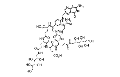 CNC(=O)[C@H](CCCNC(=N)N)NC(=O)[C@H](CCC(=O)NC[C@H](O)[C@@H](O)[C@H](O)[C@H](O)CO)NC(=O)[C@H](CCC(=O)O)NC(=O)[C@H](CCC(=O)NC[C@H](O)[C@@H](O)[C@H](O)[C@H](O)CO)NC(=O)CC[C@H](NC(=O)c1ccc(NCc2cnc3nc(N)[nH]c(=O)c3n2)cc1)C(=O)O